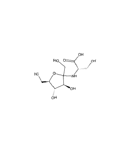 O=C(O)[C@H](CO)NC1(CO)O[C@H](CO)[C@@H](O)[C@@H]1O